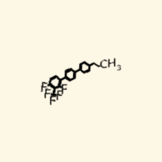 CCCc1ccc(-c2ccc(-c3ccc(F)c(C(F)(F)F)c3F)cc2)cc1